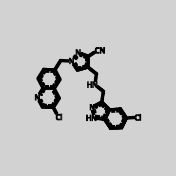 N#Cc1nn(Cc2ccc3ncc(Cl)cc3c2)cc1CNCc1n[nH]c2ccc(Cl)cc12